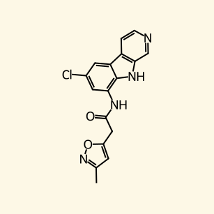 Cc1cc(CC(=O)Nc2cc(Cl)cc3c2[nH]c2cnccc23)on1